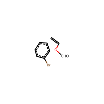 Brc1ccccc1.C=COC=O